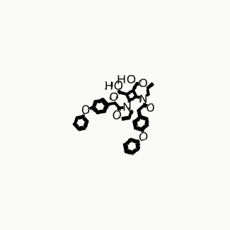 C=CCN(C(=O)Cc1ccc(Oc2ccccc2)cc1)C1C(C(=O)O)C(C(=O)O)C1N(CC=C)C(=O)Cc1ccc(Oc2ccccc2)cc1